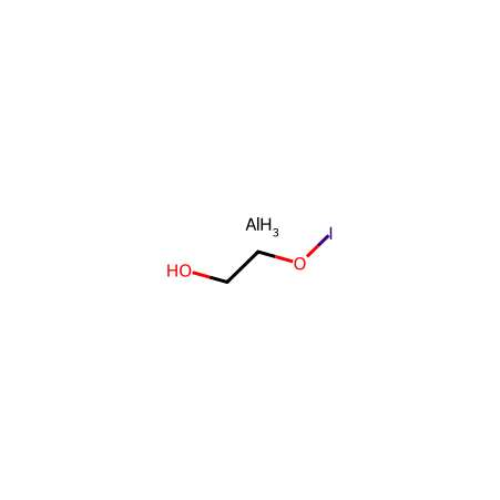 OCCOI.[AlH3]